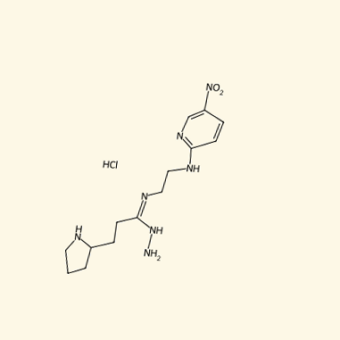 Cl.NNC(CCC1CCCN1)=NCCNc1ccc([N+](=O)[O-])cn1